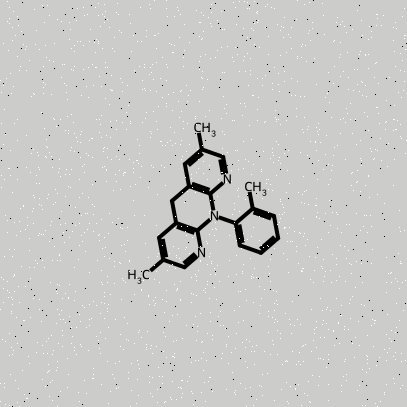 Cc1cnc2c(c1)Cc1cc(C)cnc1N2c1ccccc1C